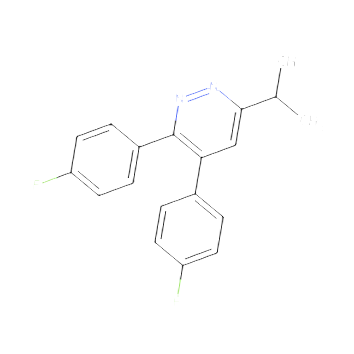 CC(C)c1[c]c(-c2ccc(F)cc2)c(-c2ccc(F)cc2)nn1